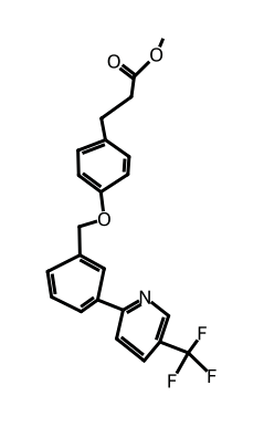 COC(=O)CCc1ccc(OCc2cccc(-c3ccc(C(F)(F)F)cn3)c2)cc1